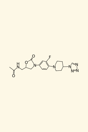 CC(=O)NCC1CN(c2ccc(N3CCC(n4cnnn4)CC3)c(F)c2)C(=O)O1